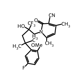 COc1ccc(F)cc1C(C)(C)CC(O)(Cn1c(C)cc(C)c(C#N)c1=O)C(F)(F)F